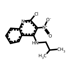 CC(C)CNc1c([N+](=O)[O-])c(Cl)nc2ccccc12